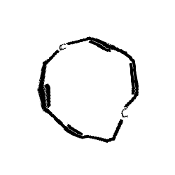 C1=CCCC=CC=CCCC=C1